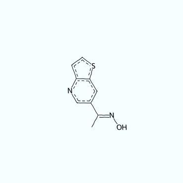 CC(=NO)c1cnc2ccsc2c1